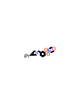 CC(C)C1C2CN(Cc3cccc(S(=O)(=O)N4CCOCC4)c3)CC21